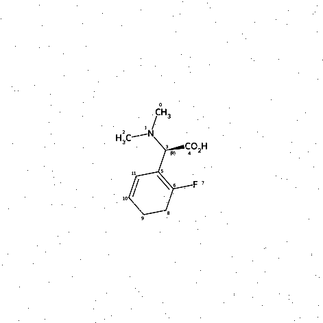 CN(C)[C@@H](C(=O)O)C1=C(F)CCC=C1